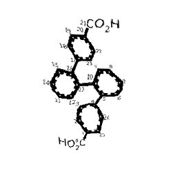 O=C(O)c1ccc(-c2ccccc2-c2ccccc2-c2ccc(C(=O)O)cc2)cc1